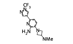 CNC1CN(c2ccc(-c3cnn(C(F)(F)F)c3)nc2N)C1